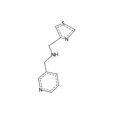 c1cncc(CNCc2cscn2)c1